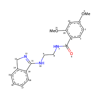 COc1ccc(C(=O)NCCNC2=NCc3ccccc32)c(OC)c1